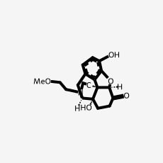 COCCN1CC[C@]23c4c5ccc(O)c4O[C@H]2C(=O)CC[C@@]3(O)[C@H]1C5